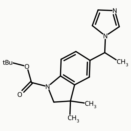 CC(c1ccc2c(c1)C(C)(C)CN2C(=O)OC(C)(C)C)n1ccnc1